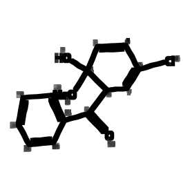 COC1(O)C=CC(Cl)=CC1C(=O)c1ccccc1